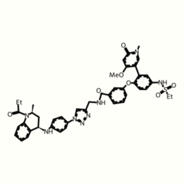 CCC(=O)N1c2ccccc2[C@H](Nc2ccc(-n3cc(CNC(=O)c4cccc(Oc5ccc(NS(=O)(=O)CC)cc5-c5cn(C)c(=O)cc5OC)c4)nn3)cc2)C[C@@H]1C